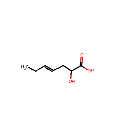 CC/C=C/CC(O)C(=O)O